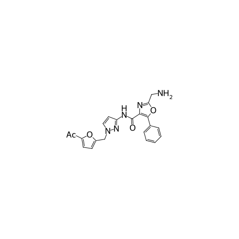 CC(=O)c1ccc(Cn2ccc(NC(=O)c3nc(CN)oc3-c3ccccc3)n2)o1